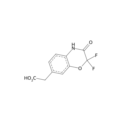 O=C(O)Cc1ccc2c(c1)OC(F)(F)C(=O)N2